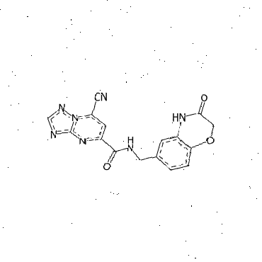 N#Cc1cc(C(=O)NCc2ccc3c(c2)NC(=O)CO3)nc2ncnn12